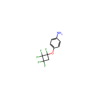 Nc1ccc(OC2(F)CC(F)(F)C2(F)F)cc1